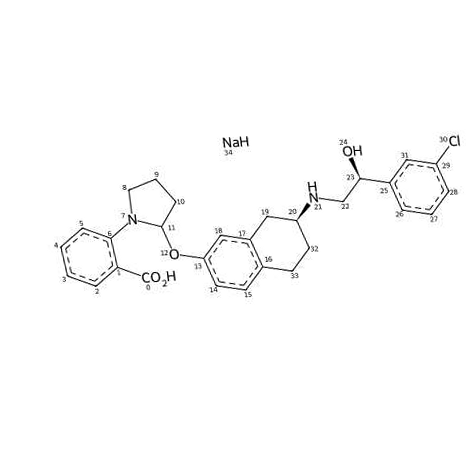 O=C(O)c1ccccc1N1CCCC1Oc1ccc2c(c1)C[C@@H](NC[C@@H](O)c1cccc(Cl)c1)CC2.[NaH]